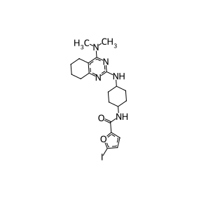 CN(C)c1nc(NC2CCC(NC(=O)c3ccc(I)o3)CC2)nc2c1CCCC2